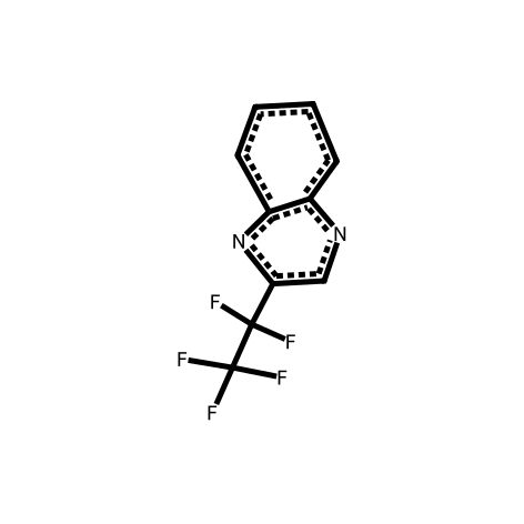 FC(F)(F)C(F)(F)c1cnc2ccccc2n1